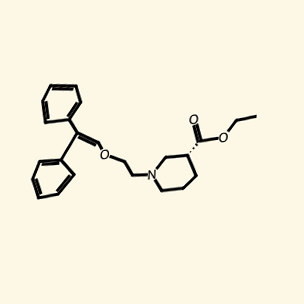 CCOC(=O)[C@@H]1CCCN(CCOC=C(c2ccccc2)c2ccccc2)C1